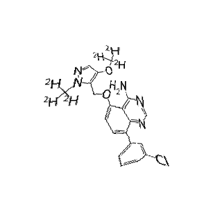 [2H]C([2H])([2H])Oc1cnn(C([2H])([2H])[2H])c1COc1ccc(-c2cccc(Cl)c2)c2ncnc(N)c12